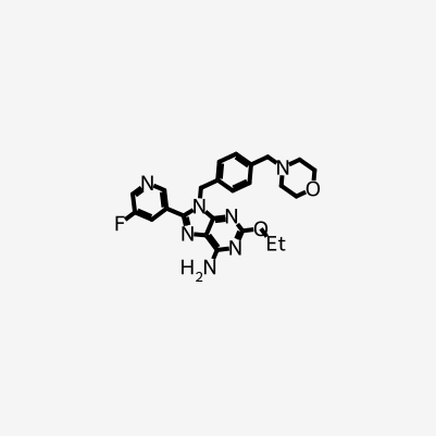 CCOc1nc(N)c2nc(-c3cncc(F)c3)n(Cc3ccc(CN4CCOCC4)cc3)c2n1